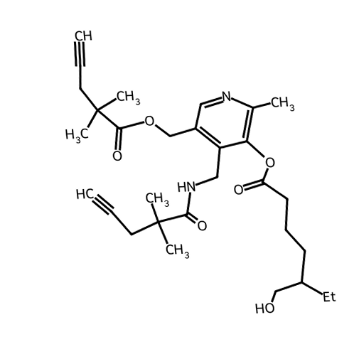 C#CCC(C)(C)C(=O)NCc1c(COC(=O)C(C)(C)CC#C)cnc(C)c1OC(=O)CCCC(CC)CO